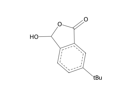 CC(C)(C)c1ccc2c(c1)C(=O)OC2O